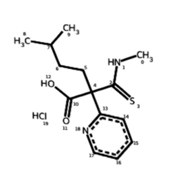 CNC(=S)C(CCC(C)C)(C(=O)O)c1ccccn1.Cl